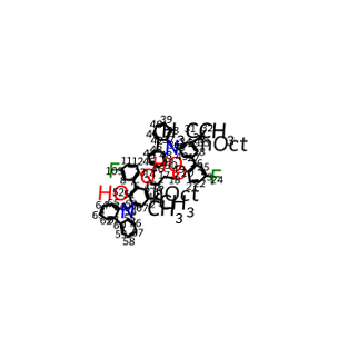 CCCCCCCCC(C)(C)c1cc(-c2cc(F)ccc2OCCCCOc2ccc(F)cc2-c2cc(C(C)(C)CCCCCCCC)cc(-n3c4ccccc4c4ccccc43)c2O)c(O)c(-n2c3ccccc3c3ccccc32)c1